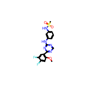 COc1cc(F)c(F)cc1-c1ncnc(Nc2cccc(NS(C)(=O)=O)c2)n1